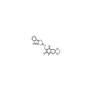 COc1ccccc1N1CCN(CCn2c(=O)c3cc4c(cc3n(C)c2=O)OCCO4)CC1